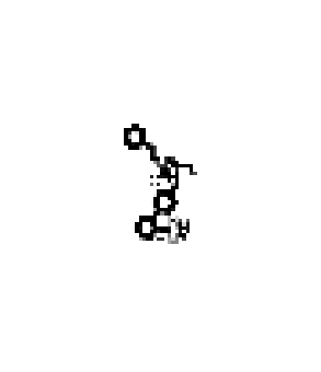 CCc1cn(CCc2ccccc2)c(=O)n1Cc1ccc(-c2ccccc2-c2nnn[nH]2)cc1